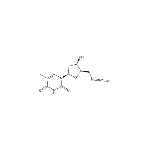 Cc1cn([C@H]2C[C@@H](O)[C@@H](CN=[N+]=[N-])O2)c(=O)[nH]c1=O